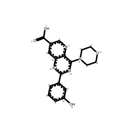 O=C(O)c1cnc2c(N3CCOCC3)nc(-c3cccc(O)c3)nc2c1